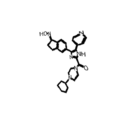 O=C(c1nc(-c2ccc3c(c2)CCC3=NO)c(-c2ccncc2)[nH]1)N1CCN(C2CCCCC2)CC1